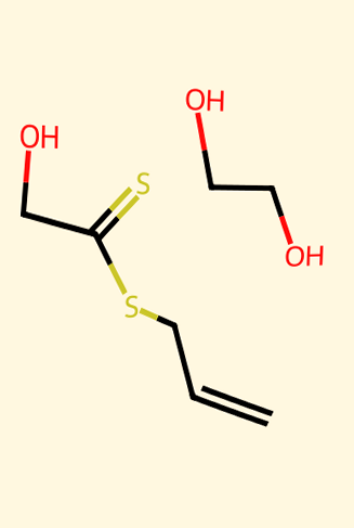 C=CCSC(=S)CO.OCCO